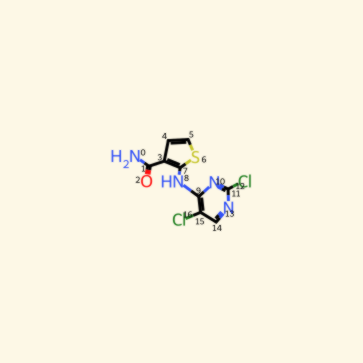 NC(=O)c1ccsc1Nc1nc(Cl)ncc1Cl